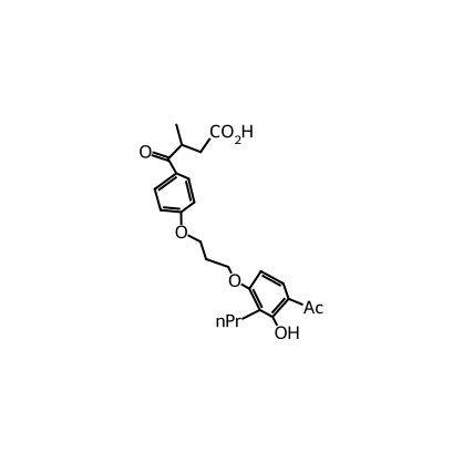 CCCc1c(OCCCOc2ccc(C(=O)C(C)CC(=O)O)cc2)ccc(C(C)=O)c1O